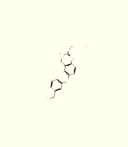 CCCN1Cc2cc(Oc3cccc(CN)c3)ccc2N=C1NC(=O)O